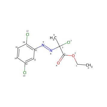 CCOC(=O)C(C)(Cl)N=Nc1cc(Cl)ccc1Cl